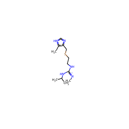 C/N=C(/NCCSCc1nc[nH]c1C)NC(C)C